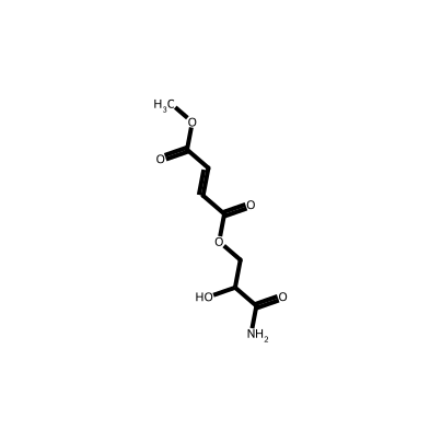 COC(=O)/C=C/C(=O)OCC(O)C(N)=O